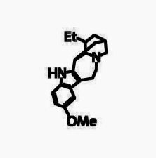 CCC1CC2CC3c4[nH]c5ccc(OC)cc5c4CCN(C2)C13